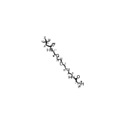 C[SH](C)CC(=O)NCCOCCOCCOCCNC(=O)CC(C)(C)C